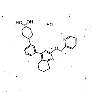 Cl.OS1(O)CCN(c2cncc(-c3cc(OCc4ccccn4)nc4c3CCCC4)c2)CC1